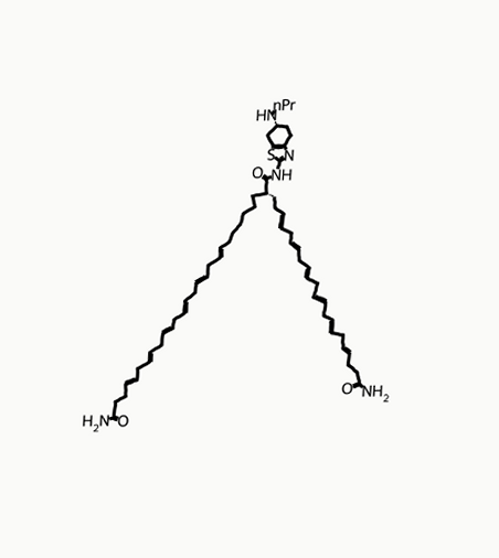 CCCN[C@@H]1CCc2nc(NC(=O)[C@H](CCC=CCC=CCC=CCC=CCC=CCC=CCCC(N)=O)CCCCCCC=CCC=CCC=CCC=CCC=CCC=CCCC(N)=O)sc2C1